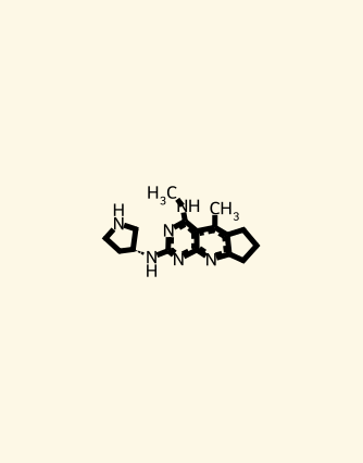 CNc1nc(N[C@@H]2CCNC2)nc2nc3c(c(C)c12)CCC3